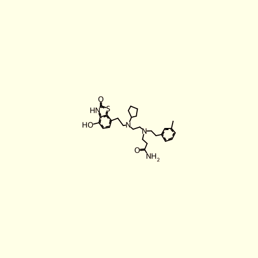 Cc1cccc(CCN(CCC(N)=O)CCN(CCc2ccc(O)c3[nH]c(=O)sc23)C2CCCC2)c1